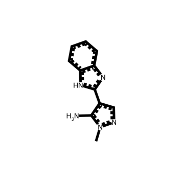 Cn1ncc(-c2nc3ccccc3[nH]2)c1N